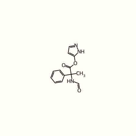 CC(NC=O)(C(=O)Oc1ccn[nH]1)c1ccccc1